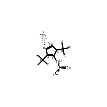 CC(C)(C)C1=[C]([Ti+3][P](=O)=O)C(C(C)(C)C)C=C1.[Cl-].[Cl-].[Cl-]